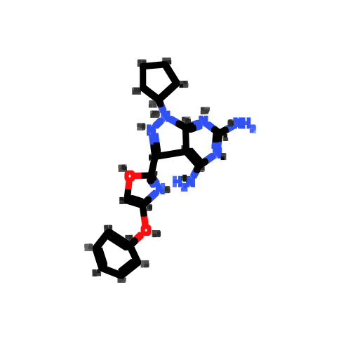 Nc1nc(N)c2c(-c3nc(Oc4ccccc4)co3)nn(C3CCCC3)c2n1